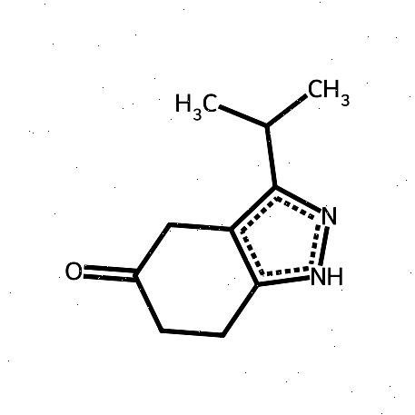 CC(C)c1n[nH]c2c1CC(=O)CC2